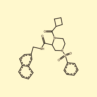 O=C(NCc1ccc2ccccc2c1)C1CN(S(=O)(=O)c2ccccc2)CCN1C(=O)C1CCC1